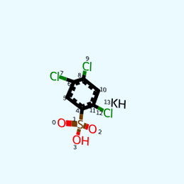 O=S(=O)(O)c1cc(Cl)c(Cl)cc1Cl.[KH]